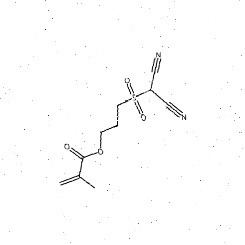 C=C(C)C(=O)OCCCS(=O)(=O)C(C#N)C#N